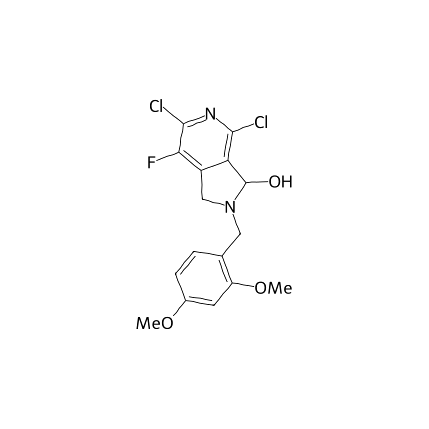 COc1ccc(CN2Cc3c(F)c(Cl)nc(Cl)c3C2O)c(OC)c1